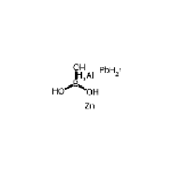 OB(O)O.[AlH3].[PbH2].[Zn]